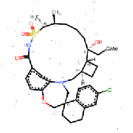 COC[C@]1(O)CCC[C@H](C)[C@@H](C)S(=O)(=O)NC(=O)c2ccc3c(c2)N(C[C@@H]2CC[C@H]21)C[C@@]1(CCCc2cc(Cl)ccc21)CO3